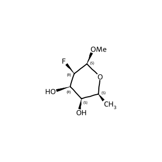 CO[C@H]1O[C@@H](C)[C@@H](O)[C@@H](O)[C@H]1F